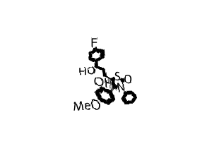 COc1ccc([C@@H]2[C@@H](CCC(O)c3ccc(F)cc3)SC(=O)N2c2ccccc2)c(O)c1